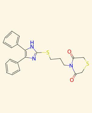 O=C1CSCC(=O)N1CCCSc1nc(-c2ccccc2)c(-c2ccccc2)[nH]1